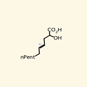 CCCCCC/C=C/CC(O)C(=O)O